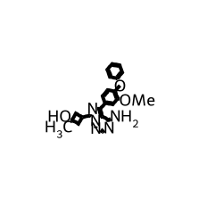 COc1cc(-c2nc(C3CC(C)(O)C3)n3ncnc(N)c23)ccc1Oc1ccccc1